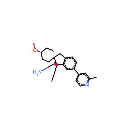 CO[C@H]1CC[C@]2(CC1)Cc1ccc(-c3ccnc(C)c3)cc1C21N=C(C)C(N)=N1